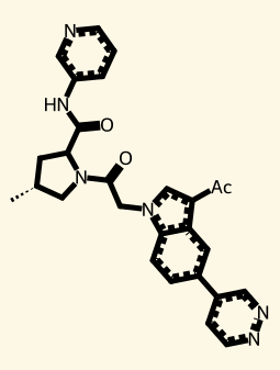 CC(=O)c1cn(CC(=O)N2C[C@H](C)CC2C(=O)Nc2cccnc2)c2ccc(-c3ccnnc3)cc12